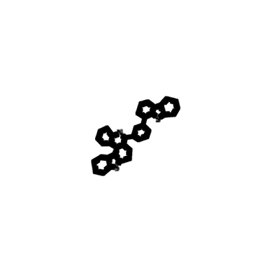 c1cc(-c2nc3ccccc3c3c2ccc2sc4ccccc4c23)cc(-c2cccc3c2sc2ccccc23)c1